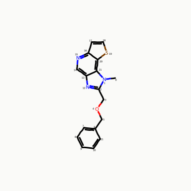 Cn1c(COCc2ccccc2)nc2cnc3ccsc3c21